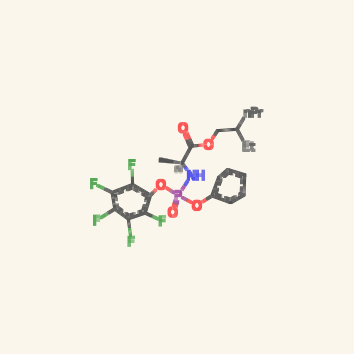 CCCC(CC)COC(=O)[C@H](C)NP(=O)(Oc1ccccc1)Oc1c(F)c(F)c(F)c(F)c1F